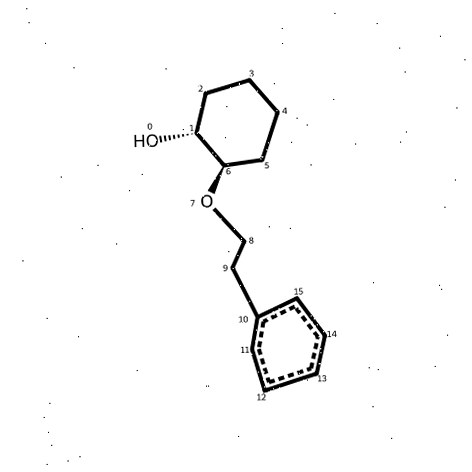 O[C@@H]1CCCC[C@H]1OCCc1ccccc1